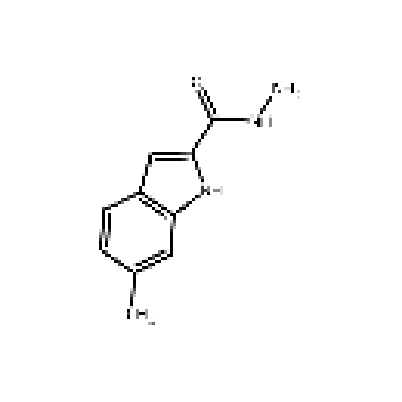 Cc1ccc2cc(C(=O)NN)[nH]c2c1